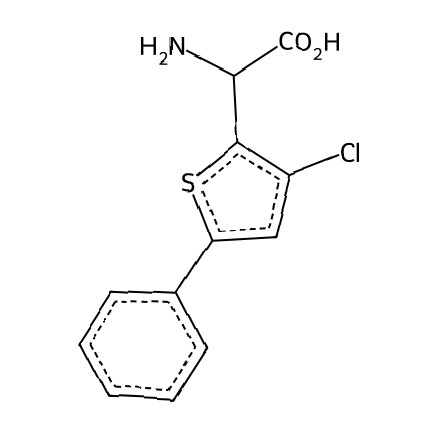 NC(C(=O)O)c1sc(-c2ccccc2)cc1Cl